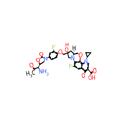 CC(=O)C(N)[C@@H]1CN(c2ccc(OC[C@]3(O)C[C@H]4COc5c(c(F)cc6c(=O)c(C(=O)O)cn(C7CC7)c56)N4C3)c(F)c2)C(=O)O1